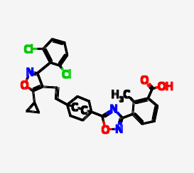 Cc1c(C(=O)O)cccc1-c1noc(C23CCC(C=Cc4c(-c5c(Cl)cccc5Cl)noc4C4CC4)(CC2)CC3)n1